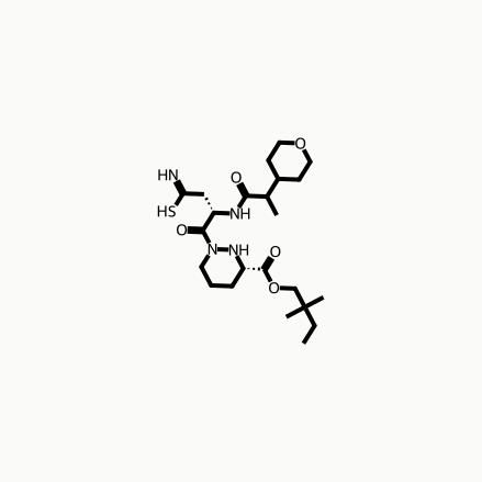 CCC(C)(C)COC(=O)[C@@H]1CCCN(C(=O)[C@H](CC(=N)S)NC(=O)C(C)C2CCOCC2)N1